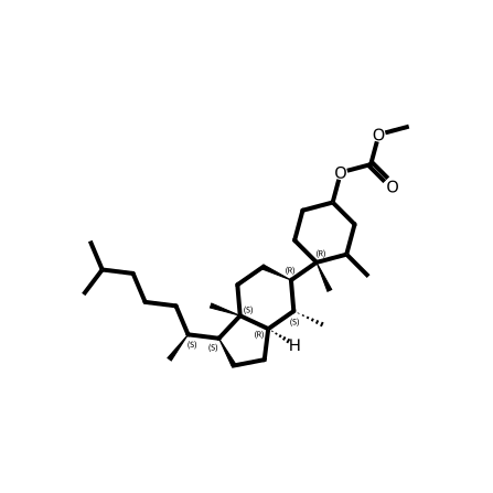 COC(=O)OC1CC[C@@](C)([C@@H]2CC[C@]3(C)[C@H](CC[C@H]3[C@@H](C)CCCC(C)C)[C@H]2C)C(C)C1